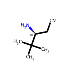 CC(C)(C)[C@@H](N)CC#N